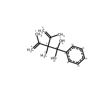 C=C(C)C(C)(C(=C)C)C(O)(O)c1ccccc1